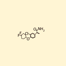 C=C(C(N)=O)c1ccc(OC2CCC(F)(F)CC2)c(Cl)c1